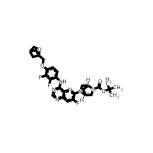 CC(C)(C)OC(=O)N1C[C@@H]2C[C@H]1CN2c1nc2c(Nc3ccc(OCC45CC(CO4)C5)c(F)c3F)ncnc2cc1F